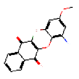 COc1cc(N)c(OC2=C(Cl)C(=O)c3ccccc3C2=O)c(Br)c1